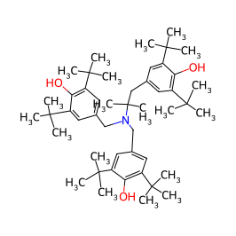 CC(C)(C)c1cc(CN(Cc2cc(C(C)(C)C)c(O)c(C(C)(C)C)c2)C(C)(C)Cc2cc(C(C)(C)C)c(O)c(C(C)(C)C)c2)cc(C(C)(C)C)c1O